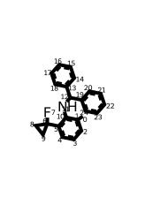 Cc1cccc(C2(F)CC2)c1NC(c1ccccc1)c1ccccc1